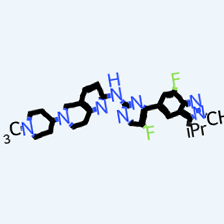 CC(C)c1c2cc(-c3nc(Nc4ccc5c(n4)CCN(C4CCN(C)CC4)C5)ncc3F)cc(F)c2nn1C